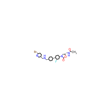 CC(=O)NC[C@H]1CN(c2ccc(-c3ccc(CNCc4ccc(Br)nc4)cc3)c(F)c2)C(=O)O1